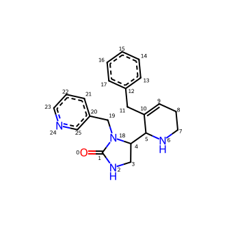 O=C1NCC(C2NCCC=C2Cc2ccccc2)N1Cc1cccnc1